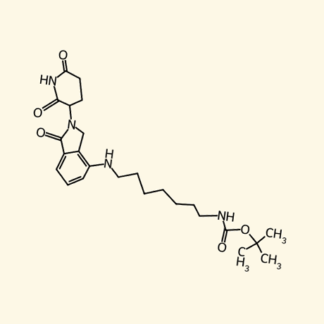 CC(C)(C)OC(=O)NCCCCCCCNc1cccc2c1CN(C1CCC(=O)NC1=O)C2=O